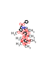 CCOc1cc2cc(C(=O)OCc3ccccc3)[nH]c2cc1O[C@@H]1O[C@H](CO[C@@H]2OC(C(=O)OC)[C@@H](OC(C)=O)[C@H](OC(C)=O)[C@H]2OC(C)=O)[C@H](OC(C)=O)[C@H](OC(C)=O)[C@H]1OC(C)=O